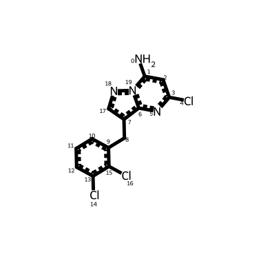 Nc1cc(Cl)nc2c(Cc3cccc(Cl)c3Cl)cnn12